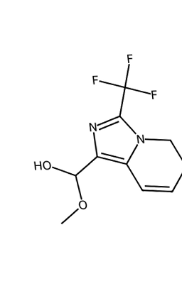 COC(O)c1nc(C(F)(F)F)n2c1C=CCC2